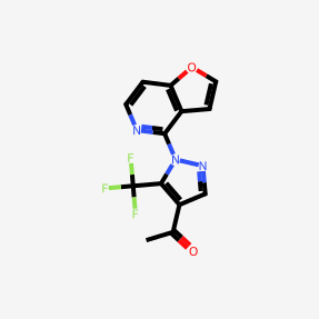 CC(=O)c1cnn(-c2nccc3occc23)c1C(F)(F)F